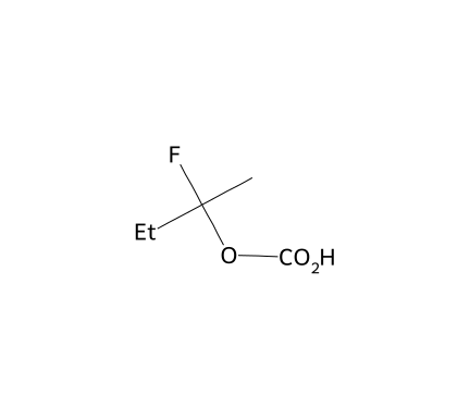 CCC(C)(F)OC(=O)O